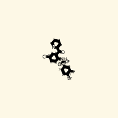 O=C(c1ccccn1)c1cc(Cl)ccc1NS(=O)(=O)c1ccc(Br)c(F)c1